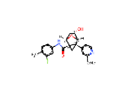 COc1cc([C@@]23C[C@]2(C(=O)Nc2ccc(C(F)(F)F)c(F)c2)[C@H]2C[C@H](O)[C@@H]3O2)ccn1